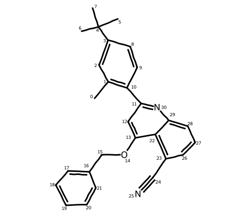 Cc1cc(C(C)(C)C)ccc1-c1cc(OCc2ccccc2)c2c(C#N)cccc2n1